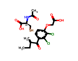 C=C(CC)C(=O)c1ccc(OCC(=O)O)c(Cl)c1Cl.CC(=O)N[C@@H](CS)C(=O)O